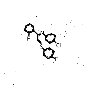 Fc1ccc(SC=CC(=Nc2ccc(Cl)cc2)c2ccccc2F)cc1